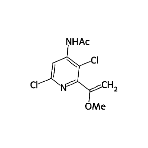 C=C(OC)c1nc(Cl)cc(NC(C)=O)c1Cl